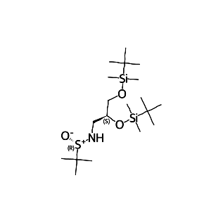 CC(C)(C)[S@+]([O-])NC[C@@H](CO[Si](C)(C)C(C)(C)C)O[Si](C)(C)C(C)(C)C